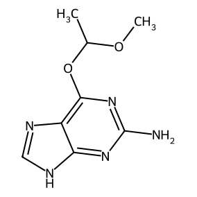 COC(C)Oc1nc(N)nc2[nH]cnc12